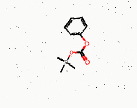 C[Si](C)(C)OC(=O)Oc1ccccc1